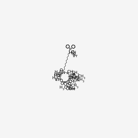 CC[C@H]1OC(=O)[C@H](C)[C@@H](C2C[C@@](C)(OC)[C@@H](O)[C@H](C)O2)[C@H](C)[C@@H](O[C@@H]2O[C@H](C)C[C@H](N(C)C)[C@H]2O)[C@](C)(O)C[C@@H](C)CN(C(=O)CCCCCCCCCCCC[PH](c2ccccc2)(c2ccccc2)c2cnn(C(C)C)c2)[C@H](C)[C@@H](O)[C@]1(C)O